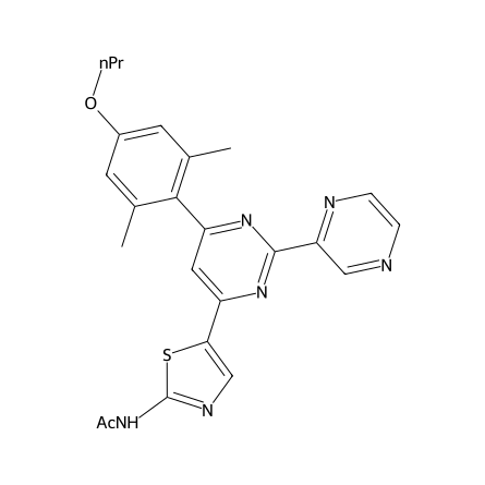 CCCOc1cc(C)c(-c2cc(-c3cnc(NC(C)=O)s3)nc(-c3cnccn3)n2)c(C)c1